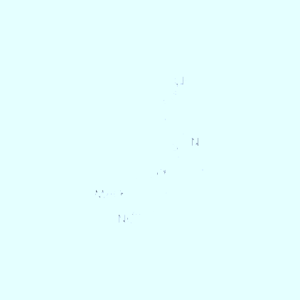 COc1cc(OCc2sc(-c3ccc(C(F)(F)F)cc3)nc2C)ccc1C#N